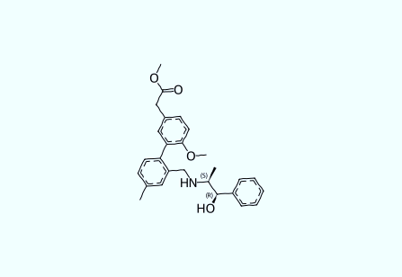 COC(=O)Cc1ccc(OC)c(-c2ccc(C)cc2CN[C@@H](C)[C@H](O)c2ccccc2)c1